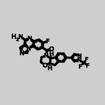 Nc1nc2cc(F)c(C(=O)N3CCO[C@@H]4Cc5cc(-c6cnn(C(F)(F)F)c6)ccc5[C@@H]43)cc2n2cncc12